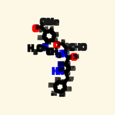 COC(=O)c1ccc(OC[C@@H](C=O)NC(=O)c2cc(Cc3ccccc3)[nH]n2)c(N(C)C)c1